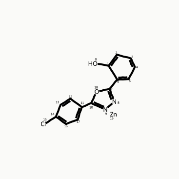 Oc1ccccc1-c1nnc(-c2ccc(Cl)cc2)o1.[Zn]